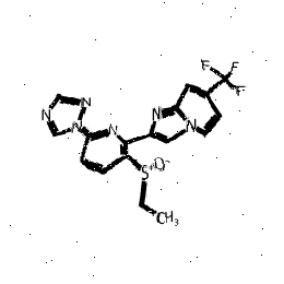 CC[S+]([O-])c1ccc(-n2cncn2)nc1-c1cn2ccc(C(F)(F)F)cc2n1